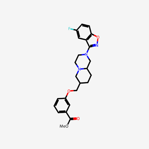 COC(=O)c1cccc(OCC2CCC3CN(c4noc5ccc(F)cc45)CCN3C2)c1